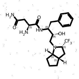 NC(=O)C[C@H](N)C(=O)N[C@@H](Cc1ccccc1)[C@H](O)CN1[C@H](C(F)(F)F)C[C@@H]2CCC[C@@H]21